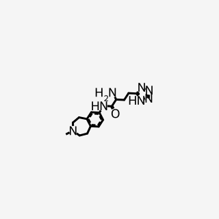 CN1CCc2ccc(NC(=O)C(N)CCc3nnn[nH]3)cc2CC1